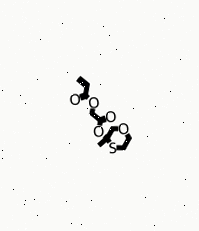 C=CC(=O)OCC(=O)OC1(C)COCCS1